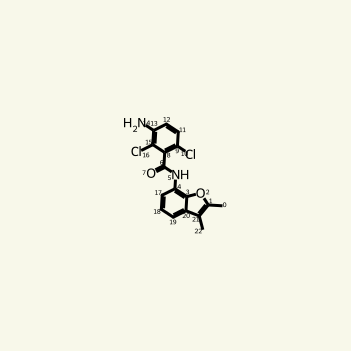 Cc1oc2c(NC(=O)c3c(Cl)ccc(N)c3Cl)cccc2c1C